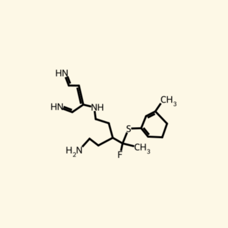 CC1=CC(SC(C)(F)C(CCN)CCN/C(C=N)=C/C=N)=CCC1